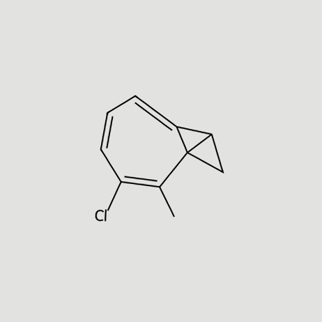 CC1=C(Cl)C=CC=C2C3CC213